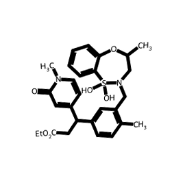 CCOC(=O)CC(c1ccc(C)c(CN2CC(C)Oc3ccccc3S2(O)O)c1)c1ccn(C)c(=O)c1